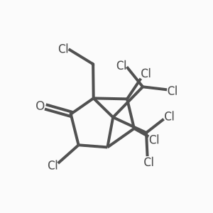 O=C1C(Cl)C2C(Cl)C(Cl)C1(CCl)C2(C(Cl)Cl)C(Cl)Cl